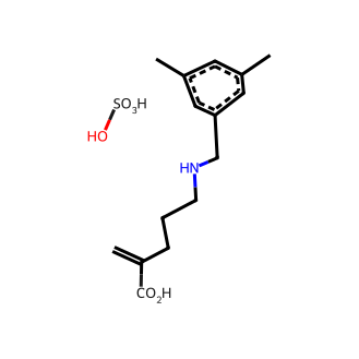 C=C(CCCNCc1cc(C)cc(C)c1)C(=O)O.O=S(=O)(O)O